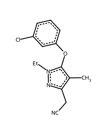 CCn1nc(CC#N)c(C)c1Oc1cccc(Cl)c1